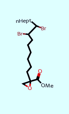 CCCCCCCC(Br)C(Br)CCCCCCC1(C(=O)OC)CO1